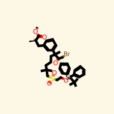 COC(=O)[C@H](C)Cc1cccc(C(C)(CCCC(C)(C)CS(=O)(=O)CCO[Si](c2ccccc2)(c2ccccc2)C(C)(C)C)C(=O)CBr)c1